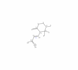 C=C1CCC(C)C(C)(C)C1/C=C/C(C)=O